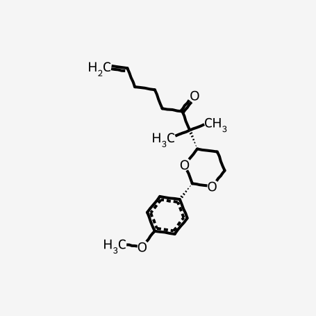 C=CCCCC(=O)C(C)(C)[C@@H]1CCO[C@H](c2ccc(OC)cc2)O1